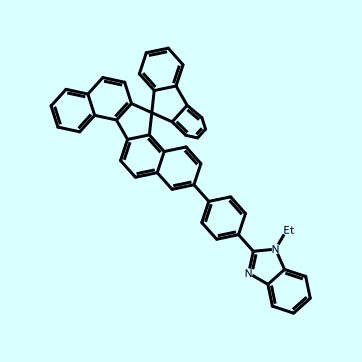 CCn1c(-c2ccc(-c3ccc4c5c(ccc4c3)-c3c(ccc4ccccc34)C53c4ccccc4-c4ccccc43)cc2)nc2ccccc21